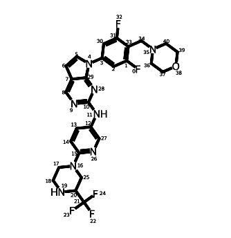 Fc1cc(-n2ccc3cnc(Nc4ccc(N5CCNC(C(F)(F)F)C5)nc4)nc32)cc(F)c1CN1CCOCC1